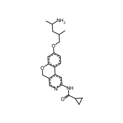 CC(N)CC(C)COc1ccc2c(c1)OCc1cnc(NC(=O)C3CC3)cc1-2